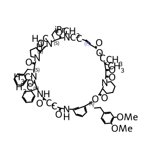 COc1ccc(CC[C@H]2OC(=O)C3CCCCN3C(=O)C(=O)C(C)(C)COC(=O)/C=C/CCN(C)C(=O)[C@H](CC(C)C)N(C)C(=O)[C@H]3CCCN3C(=O)[C@H](Cc3ccccc3)N(C)C(=O)[C@H](C3(C)C=CC=CC3)NC(=O)CCC(=O)Nc3cccc2c3)cc1OC